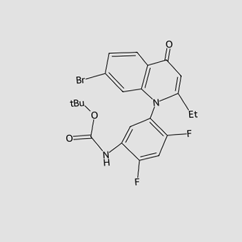 CCc1cc(=O)c2ccc(Br)cc2n1-c1cc(NC(=O)OC(C)(C)C)c(F)cc1F